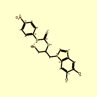 CC(C)(C)CC(Cn1cnc2cc(Cl)c(Cl)cc21)OC(=O)Oc1ccc([N+](=O)[O-])cc1